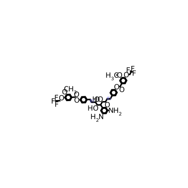 COc1cc(C(=O)Oc2ccc(/C=C/C(=O)C(O)C(c3cc(N)cc(N)c3)C(O)C(=O)/C=C/c3ccc(OC(=O)c4ccc(OCC(F)(F)F)c(OC)c4)cc3)cc2)ccc1OCC(F)(F)F